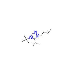 CCCCN1N=CN(C(C)(C)C)C1C(C)C